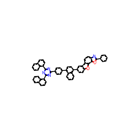 c1ccc(-c2nc3ccc4c5cc(-c6ccc(-c7ccc(-c8nc(-c9cccc%10ccccc9%10)nc(-c9cccc%10ccccc9%10)n8)cc7)c7ccccc67)ccc5oc4c3o2)cc1